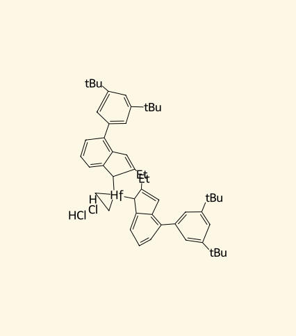 CCC1=Cc2c(-c3cc(C(C)(C)C)cc(C(C)(C)C)c3)cccc2[CH]1[Hf]1([CH]2C(CC)=Cc3c(-c4cc(C(C)(C)C)cc(C(C)(C)C)c4)cccc32)[CH2][CH2]1.Cl.Cl